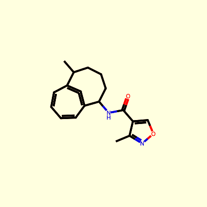 Cc1nocc1C(=O)NC1CCCC(C)C2=C=C1C=CC=C2